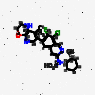 Cc1c(-c2cc3cc(N(C(=O)O)[C@H]4CCCC[C@H]4C#N)ncc3c(Cl)c2F)cnc2c1NCCO2